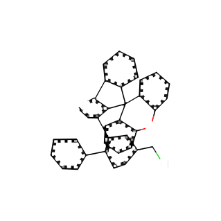 ClCc1ccc(-c2ccccc2)c(-c2cccc3c2C2(c4ccccc4Oc4ccccc42)c2ccccc2-3)c1